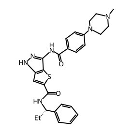 CC[C@H](NC(=O)c1cc2[nH]nc(NC(=O)c3ccc(N4CCN(C)CC4)cc3)c2s1)c1ccccc1